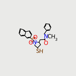 CN(Cc1ccccc1)C(=O)CC1CC(S)CN1S(=O)(=O)c1ccc2ccccc2c1